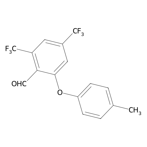 Cc1ccc(Oc2cc(C(F)(F)F)cc(C(F)(F)F)c2C=O)cc1